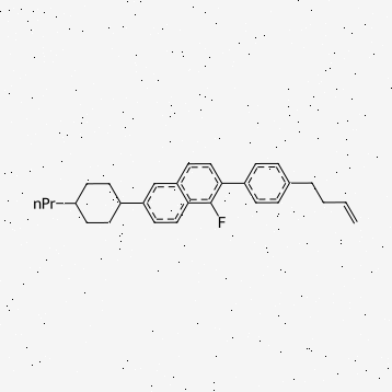 C=CCCc1ccc(-c2ccc3cc(C4CCC(CCC)CC4)ccc3c2F)cc1